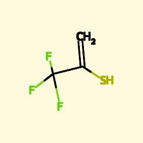 C=C(S)C(F)(F)F